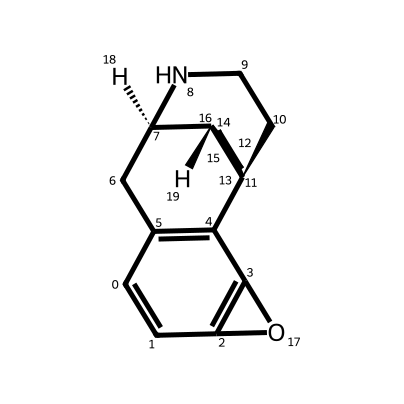 c1cc2c(c3c1C[C@H]1NCC[C@@]34CCCC[C@@H]14)O2